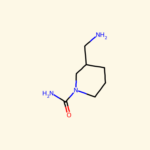 NCC1CCCN(C(N)=O)C1